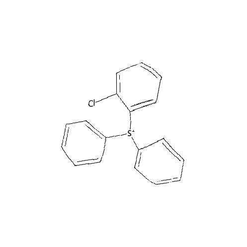 Clc1ccccc1[S+](c1ccccc1)c1ccccc1